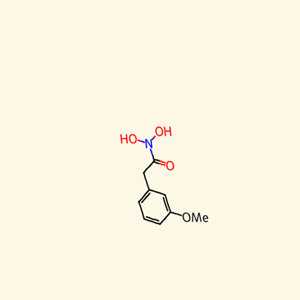 COc1cccc(CC(=O)N(O)O)c1